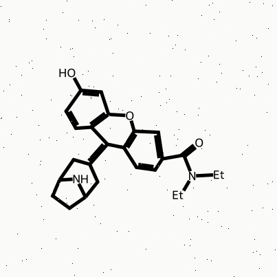 CCN(CC)C(=O)c1ccc2c(c1)Oc1cc(O)ccc1C2=C1CC2CCC(C1)N2